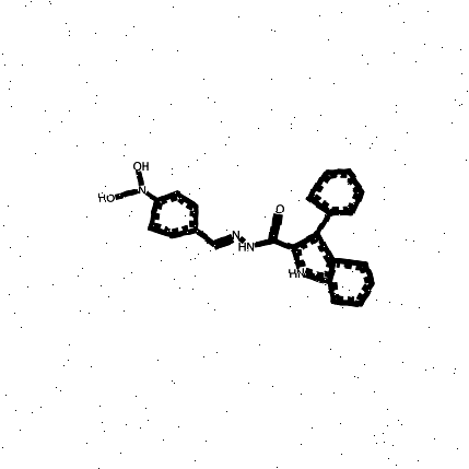 O=C(NN=Cc1ccc(N(O)O)cc1)c1[nH]c2ccccc2c1-c1ccccc1